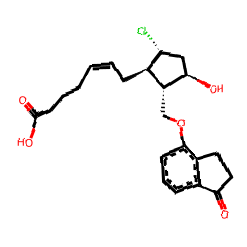 O=C(O)CCC/C=C\C[C@@H]1[C@@H](COc2cccc3c2CCC3=O)[C@H](O)C[C@H]1Cl